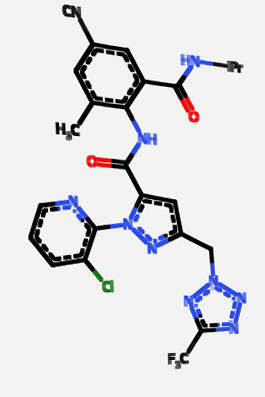 [C-]#[N+]c1cc(C)c(NC(=O)c2cc(Cn3nnc(C(F)(F)F)n3)nn2-c2ncccc2Cl)c(C(=O)NC(C)C)c1